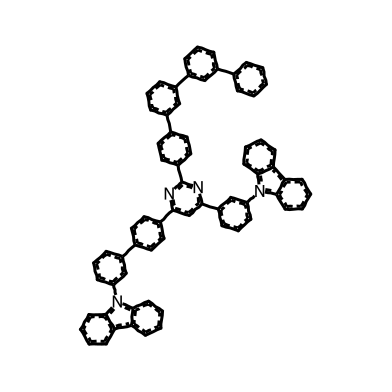 c1ccc(-c2cccc(-c3cccc(-c4ccc(-c5nc(-c6ccc(-c7cccc(-n8c9ccccc9c9ccccc98)c7)cc6)cc(-c6cccc(-n7c8ccccc8c8ccccc87)c6)n5)cc4)c3)c2)cc1